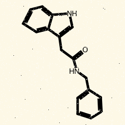 O=C(Cc1c[nH]c2ccccc12)NCc1ccccc1